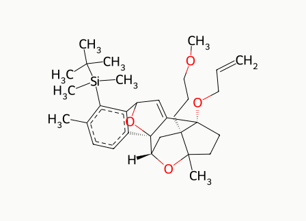 C=CCO[C@]12CCC3(C)O[C@@H](C[C@]31CCCOC)[C@@]13OC(C=C12)c1c3ccc(C)c1[Si](C)(C)C(C)(C)C